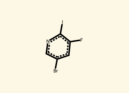 Fc1cc(Br)cnc1I